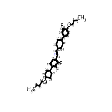 CCCCOc1ccc(C2CCC(/C=C/c3ccc(C4CCC(OCCCC)CC4)c(F)c3F)CC2)cc1F